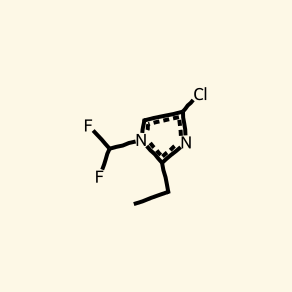 CCc1nc(Cl)cn1C(F)F